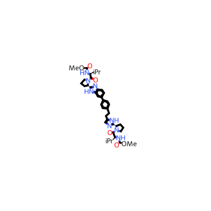 COC(=O)N[C@H](C(=O)N1CCC[C@H]1c1ncc(CCc2ccc(-c3ccc4nc([C@@H]5CCCN5C(=O)[C@@H](NC(=O)OC)C(C)C)[nH]c4c3)cc2)[nH]1)C(C)C